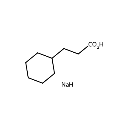 O=C(O)CCC1CCCCC1.[NaH]